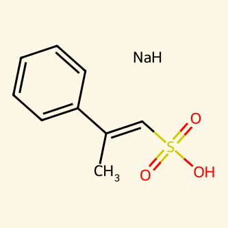 CC(=CS(=O)(=O)O)c1ccccc1.[NaH]